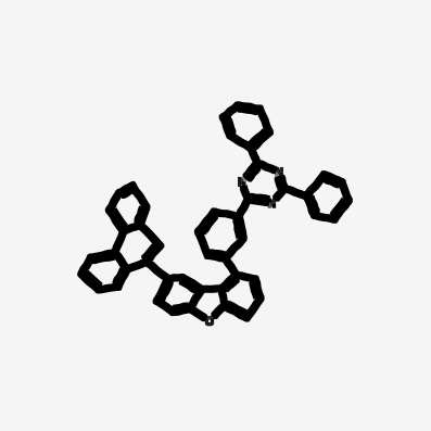 c1ccc(-c2nc(-c3ccccc3)nc(-c3cccc(-c4cccc5oc6ccc(-c7cc8ccccc8c8ccccc78)cc6c45)c3)n2)cc1